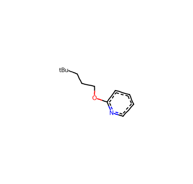 CC(C)(C)CCCOc1ccccn1